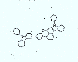 c1ccc(-n2c3ccccc3c3cc(-c4ccc5c(c4)Oc4cc6c(c7cccc-5c47)c4ccccc4n6-c4ccccc4)ccc32)cc1